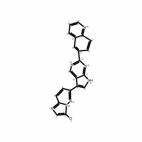 Clc1cnc2ccc(-c3c[nH]c4nc(-c5ccc6ncccc6c5)ncc34)nn12